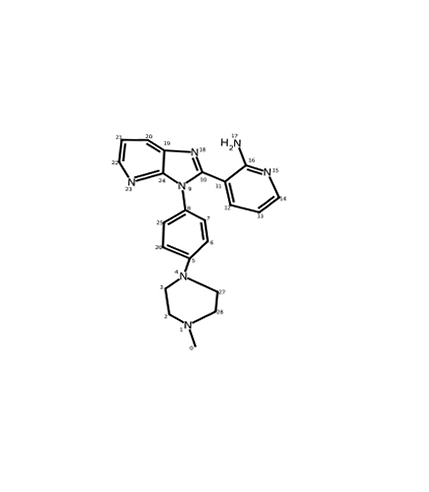 CN1CCN(c2ccc(-n3c(-c4cccnc4N)nc4cccnc43)cc2)CC1